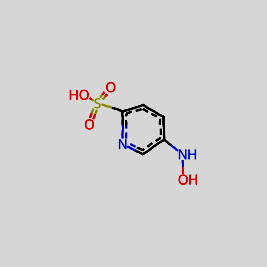 O=S(=O)(O)c1ccc(NO)cn1